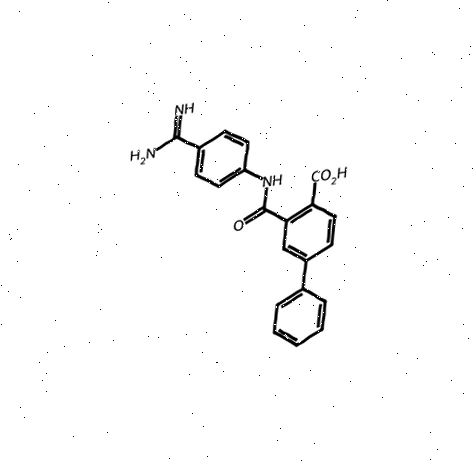 N=C(N)c1ccc(NC(=O)c2cc(-c3ccccc3)ccc2C(=O)O)cc1